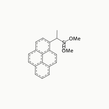 CO[SiH](OC)C(C)c1ccc2ccc3cccc4ccc1c2c34